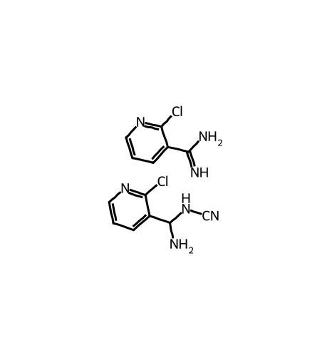 N#CNC(N)c1cccnc1Cl.N=C(N)c1cccnc1Cl